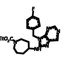 CCOC(=O)N1CCCC(Nc2nc3cncnc3n2Cc2ccc(F)cc2)CC1